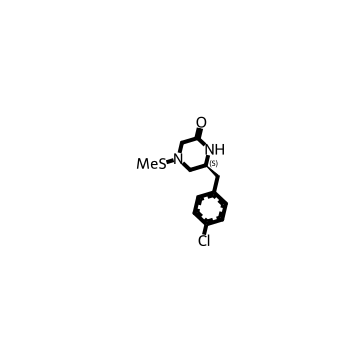 CSN1CC(=O)N[C@@H](Cc2ccc(Cl)cc2)C1